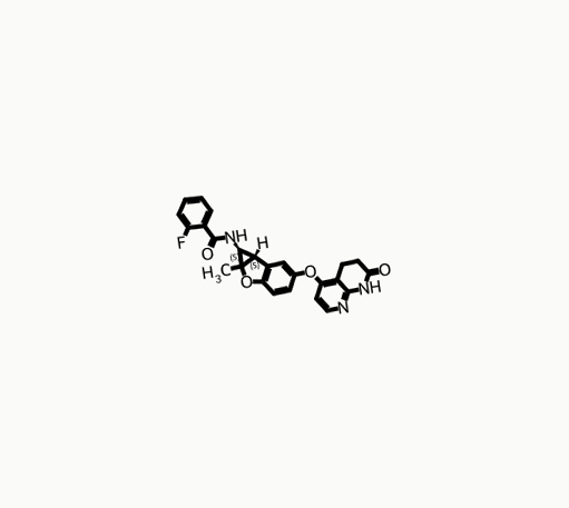 CC12Oc3ccc(Oc4ccnc5c4CCC(=O)N5)cc3[C@H]1[C@@H]2NC(=O)c1ccccc1F